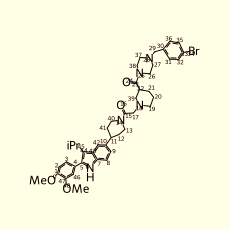 COc1ccc(-c2[nH]c3ccc(C4CCN(C(=O)CN5CCCC(C(=O)N6CCN(Cc7ccc(Br)cc7)CC6)C5)CC4)cc3c2C(C)C)cc1OC